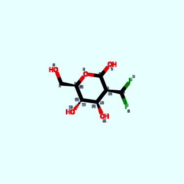 OC[C@H]1OC(O)[C@@H](C(F)F)[C@@H](O)[C@@H]1O